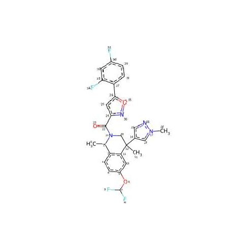 CC1c2ccc(OC(F)F)cc2C(C)(c2cnn(C)c2)CN1C(=O)c1cc(-c2ccc(F)cc2F)on1